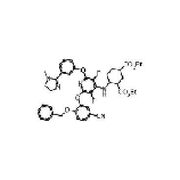 CCOC(=O)C1CCC(Nc2c(F)c(Oc3cccc(C4=NCCN4C)c3)nc(Oc3cc(C#N)ccc3OCc3ccccc3)c2F)C(C(=O)OCC)C1